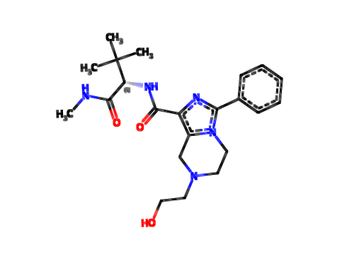 CNC(=O)[C@@H](NC(=O)c1nc(-c2ccccc2)n2c1CN(CCO)CC2)C(C)(C)C